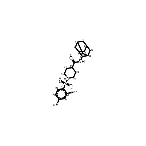 O=C(NC1C2CC3CC(C2)CC1C3)C1CCN(S(=O)(=O)c2ccc(F)cc2F)CC1